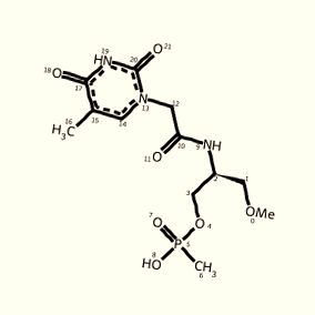 COC[C@@H](COP(C)(=O)O)NC(=O)Cn1cc(C)c(=O)[nH]c1=O